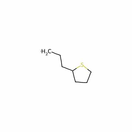 [CH2]CCC1CCCS1